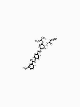 CC(C)OC(=O)[C@H](CCC(=O)C=[N+]=[N-])NC(=O)OCc1ccc(OC(=O)C2=CN(C)C=CC2)cc1